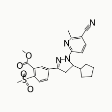 COC(=O)c1cc(C2=NN(c3ccc(C#N)c(C)n3)C(C3CCCC3)C2)ccc1S(C)(=O)=O